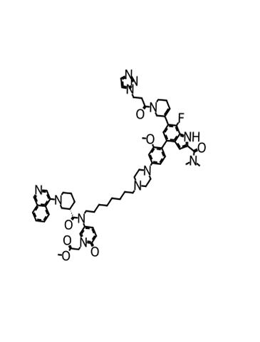 COC(=O)Cn1cc(N(CCCCCCCCN2CCN(c3ccc(-c4cc(C5=CCCN(C(=O)CCn6ccnn6)C5)c(F)c5[nH]c(C(=O)N(C)C)cc45)c(OC)c3)CC2)C(=O)[C@H]2CCCN(c3cncc4ccccc34)C2)ccc1=O